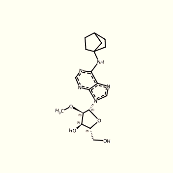 CO[C@@H]1[C@H](O)[C@@H](CO)O[C@H]1n1cnc2c(NC34CCC(CC3)C4)ncnc21